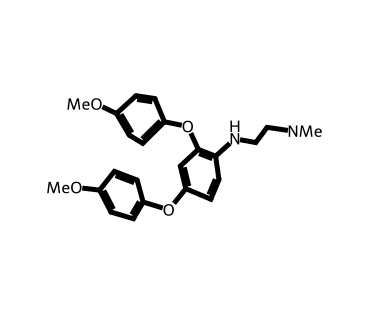 CNCCNc1ccc(Oc2ccc(OC)cc2)cc1Oc1ccc(OC)cc1